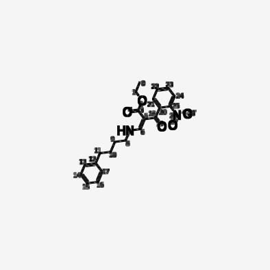 CCOC(=O)C(=CNCCCCc1ccccc1)C(=O)c1ccccc1[N+](=O)[O-]